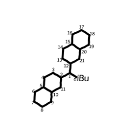 CCC(C)C(C1CCC2CCCCC2C1)C1CCC2CCCCC2C1